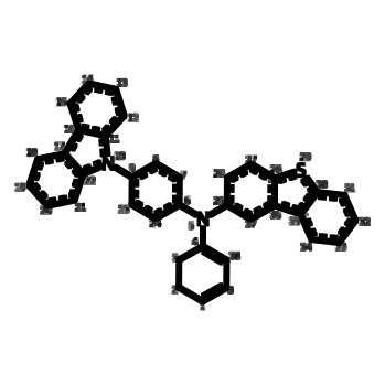 C1=CCCC(N(c2ccc(-n3c4ccccc4c4ccccc43)cc2)c2ccc3sc4ccccc4c3c2)=C1